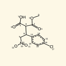 COC(=O)C(C(=O)O)C(C[N+](=O)[O-])c1ccc(Cl)cc1